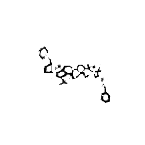 CC(C)C1=C2[C@H]3CC[C@@H]4[C@]5(C)CC[C@H]([C@@]6(C(=O)O)C[C@@H](C(=O)OCc7ccccc7)C6(C)C)C(C)(C)[C@H]5CC[C@@]4(C)[C@]3(C)CC[C@@]2(C(=O)N2CCCC2CN2CCC(F)(F)CC2)CC1=O